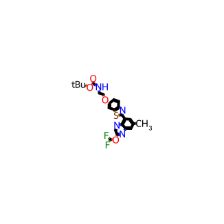 Cc1cc(-c2nc3ccc(OCCNC(=O)OC(C)(C)C)cc3s2)c2ncc(OC(F)F)nc2c1